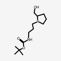 CC(C)(C)OC(=O)NCCCN1CCCC1CO